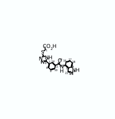 O=C(O)CSc1nnc(-c2cccc(C(=O)Nc3cccc4[nH]ncc34)c2)[nH]1